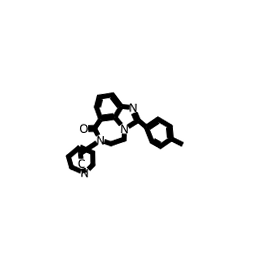 Cc1ccc(-c2nc3cccc4c3n2CCN(C2CN3CCC2CC3)C4=O)cc1